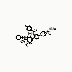 CC1=CC(C(=O)Nc2ccccc2N)=CC(C)(Cl)C=C1c1ccc(N2CCN(C(=O)OC(C)(C)C)CC2)cc1NC(=O)c1ccc(C)cc1